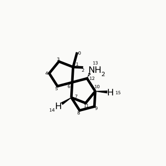 CC1(C)CCCC12[C@H]1CC[C@H](C1)[C@H]2N